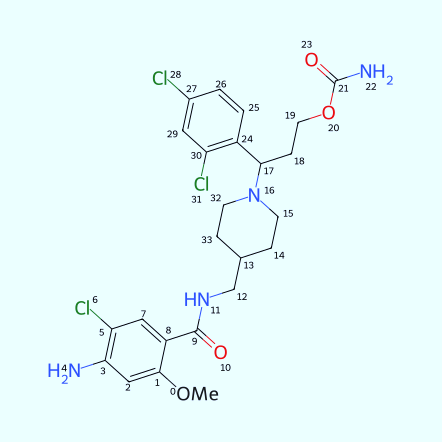 COc1cc(N)c(Cl)cc1C(=O)NCC1CCN(C(CCOC(N)=O)c2ccc(Cl)cc2Cl)CC1